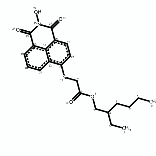 CCCCC(CC)COC(=O)CSc1ccc2c3c(cccc13)C(=O)N(O)C2=O